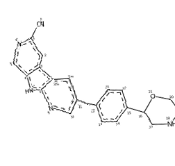 N#Cc1cc2c(cn1)[nH]c1ncc(-c3ccc(C4CNCCO4)cc3)cc12